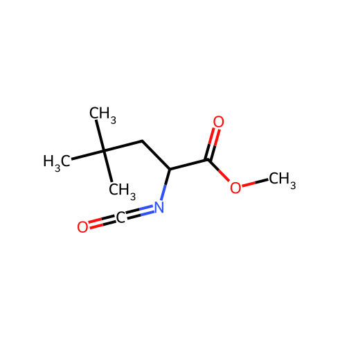 COC(=O)C(CC(C)(C)C)N=C=O